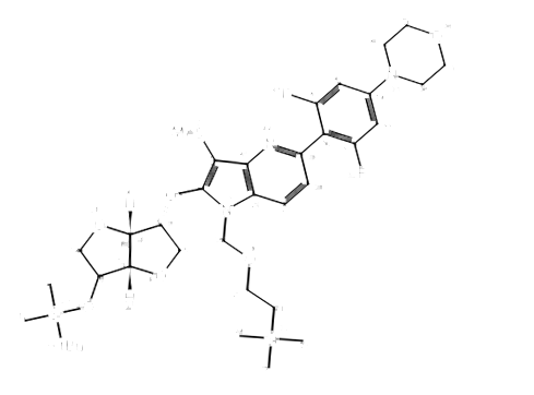 CSc1c(O[C@@H]2CO[C@@H]3C(O[Si](C)(C)C(C)(C)C)CO[C@@H]32)n(COCC[Si](C)(C)C)c2ccc(-c3c(F)cc(N4CCOCC4)cc3F)nc12